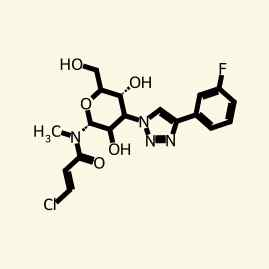 CN(C(=O)/C=C/Cl)[C@@H]1OC(CO)[C@H](O)C(n2cc(-c3cccc(F)c3)nn2)C1O